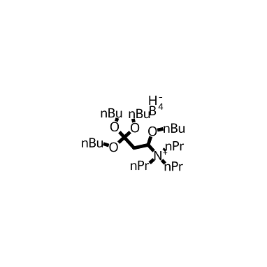 CCCCOC(CC(OCCCC)(OCCCC)OCCCC)[N+](CCC)(CCC)CCC.[BH4-]